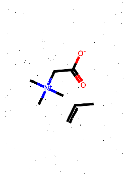 C=CC.C[N+](C)(C)CC(=O)[O-]